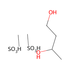 CC(O)CCO.CS(=O)(=O)O.CS(=O)(=O)O